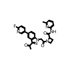 CC(=O)c1nn(CC(=O)N2CCC2C(=O)Nc2cccc(C)n2)c2ccc(-c3ccc(F)nc3)cc12